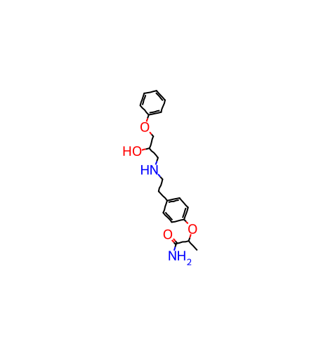 CC(Oc1ccc(CCNCC(O)COc2ccccc2)cc1)C(N)=O